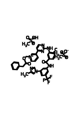 CS(=O)(=O)O.CS(=O)(=O)[O-].Cc1cn(-c2cc(NC(=O)c3ccc(C)c(Nc4nccc(-c5ccc[n+](COC(=O)Cc6ccccc6)c5)n4)c3)cc(C(F)(F)F)c2)cn1